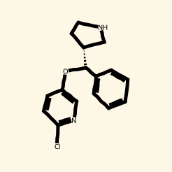 Clc1ccc(OC(c2ccccc2)[C@@H]2CCNC2)cn1